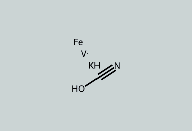 N#CO.[Fe].[KH].[V]